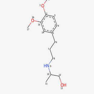 COc1ccc(CCCNC(C)CO)cc1OC